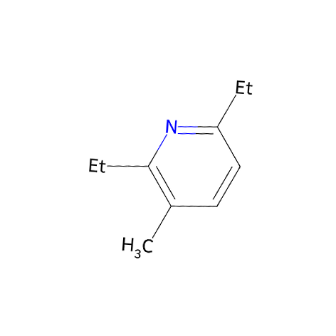 CCc1ccc(C)c(CC)n1